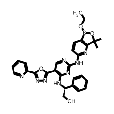 CC1(C)OB(OCC(F)(F)F)c2ccc(Nc3ncc(-c4nnc(-c5ccccn5)o4)c(N[C@H](CO)c4ccccc4)n3)nc21